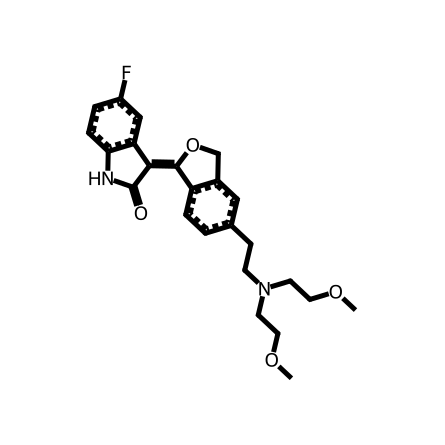 COCCN(CCOC)CCc1ccc2c(c1)COC2=C1C(=O)Nc2ccc(F)cc21